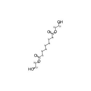 O=C(CCCCCCCC(=O)OCCO)OCCO